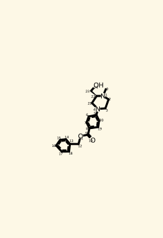 CN1CCN(c2ccc(C(=O)OCc3ccccc3)cc2)C[C@H]1CO